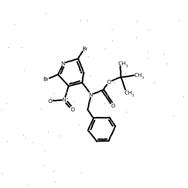 CC(C)(C)OC(=O)N(Cc1ccccc1)c1cc(Br)nc(Br)c1[N+](=O)[O-]